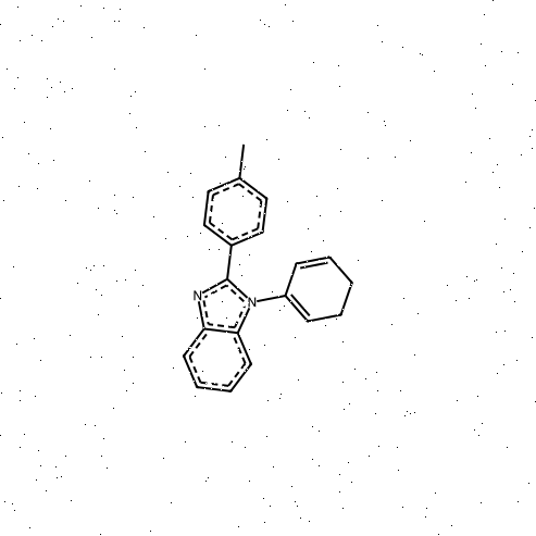 Cc1ccc(-c2nc3ccccc3n2C2=CCCC=C2)cc1